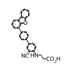 N#Cc1cc(-c2ccc(-c3cccc4c3oc3ccccc34)cc2)ccc1NCCC(=O)O